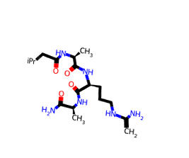 C=C(N)NCCC[C@H](NC(=O)[C@H](C)NC(=O)CC(C)C)C(=O)N[C@@H](C)C(N)=O